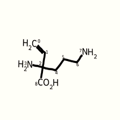 C=CC(N)(CCCN)C(=O)O